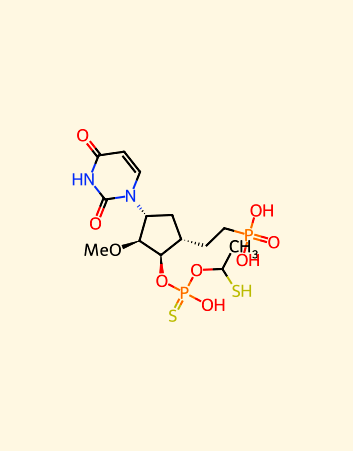 CO[C@@H]1[C@H](OP(O)(=S)OC(C)S)[C@@H](CCP(=O)(O)O)C[C@H]1n1ccc(=O)[nH]c1=O